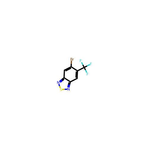 FC(F)(F)c1cc2nsnc2cc1Br